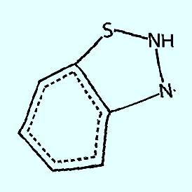 c1ccc2c(c1)[N]NS2